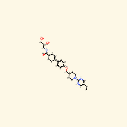 CCc1cnc(N2CCC(COc3ccc(C4=CCC(C(=O)NC[C@@H](O)CO)CC4)cc3)CC2)nc1